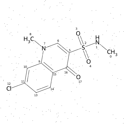 CNS(=O)(=O)c1cn(C)c2cc(Cl)ccc2c1=O